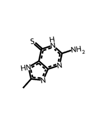 Cc1nc2nc(N)[nH]c(=S)c2[nH]1